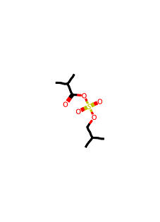 CC(C)COS(=O)(=O)OC(=O)C(C)C